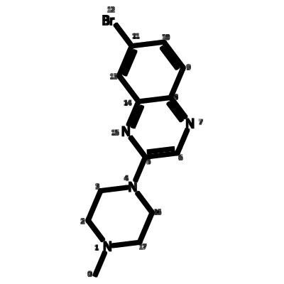 CN1CCN(c2cnc3ccc(Br)cc3n2)CC1